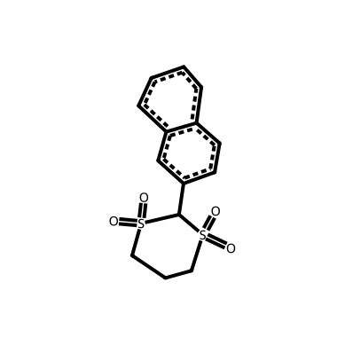 O=S1(=O)CCCS(=O)(=O)C1c1ccc2ccccc2c1